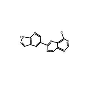 Clc1ncnc2ccc(-c3cnc4[nH]ncc4c3)nc12